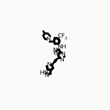 CC1CCN(Cc2cc(Nc3noc4c(C#Cc5cc6cn[nH]c6cn5)ncnc34)cc(C(F)(F)F)c2)CC1